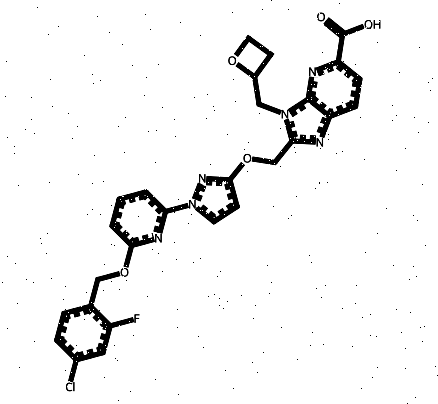 O=C(O)c1ccc2nc(COc3ccn(-c4cccc(OCc5ccc(Cl)cc5F)n4)n3)n(CC3CCO3)c2n1